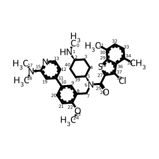 CN[C@H]1CC[C@@H](N(Cc2cc(-c3ccnc(N(C)C)c3)ccc2OC)C(=O)c2sc3c(C)ccc(C)c3c2Cl)CC1